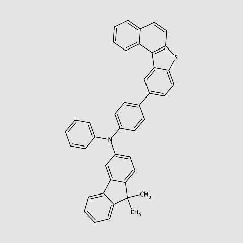 CC1(C)c2ccccc2-c2cc(N(c3ccccc3)c3ccc(-c4ccc5sc6ccc7ccccc7c6c5c4)cc3)ccc21